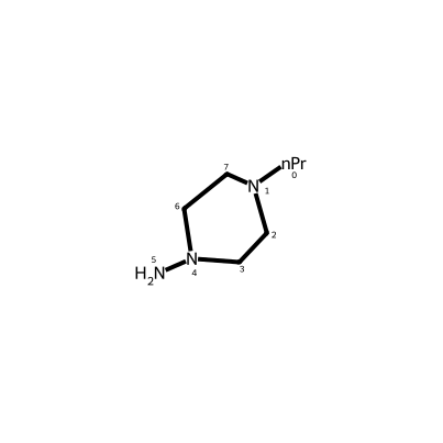 CCCN1CCN(N)CC1